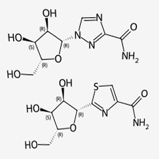 NC(=O)c1csc([C@@H]2O[C@H](CO)[C@@H](O)[C@H]2O)n1.NC(=O)c1ncn([C@@H]2O[C@H](CO)[C@@H](O)[C@H]2O)n1